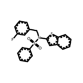 O=S(=O)(c1ccccc1)N(Cc1cccc(F)c1)c1cc2ccccc2s1